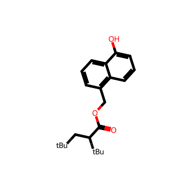 CC(C)(C)CC(C(=O)OCc1cccc2c(O)cccc12)C(C)(C)C